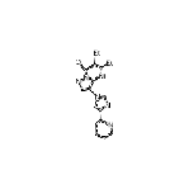 CCc1[nH]c2c(-n3cnc(-c4ccccn4)c3)cnn2c(=O)c1CC